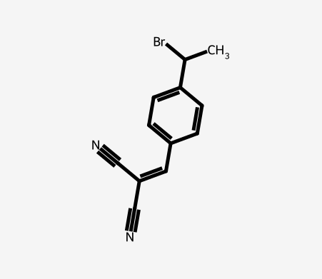 CC(Br)c1ccc(C=C(C#N)C#N)cc1